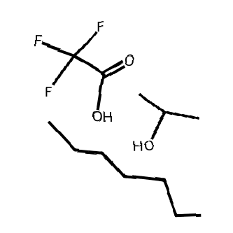 CC(C)O.CCCCCCC.O=C(O)C(F)(F)F